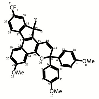 COc1ccc(C2(c3ccc(OC)cc3)C=Cc3c4c(c5ccc(OC)cc5c3O2)-c2ccc(C(F)(F)F)cc2C4(C)C)cc1